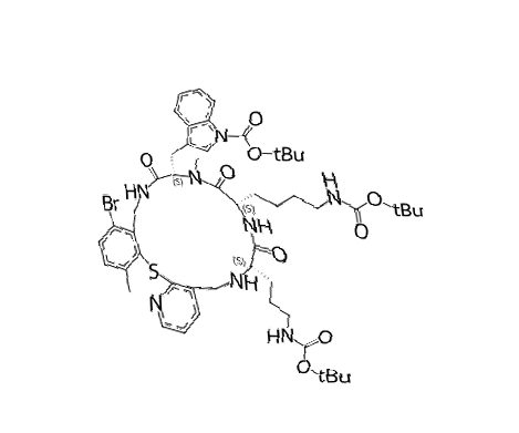 Cc1ccc(Br)c2c1Sc1ncccc1CN[C@@H](CCCNC(=O)OC(C)(C)C)C(=O)N[C@@H](CCCCNC(=O)OC(C)(C)C)C(=O)N(C)[C@@H](Cc1cn(C(=O)OC(C)(C)C)c3ccccc13)C(=O)NC2